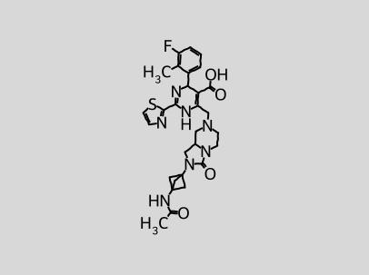 CC(=O)NC12CC(N3CC4CN(CC5=C(C(=O)O)C(c6cccc(F)c6C)N=C(c6nccs6)N5)CCN4C3=O)(C1)C2